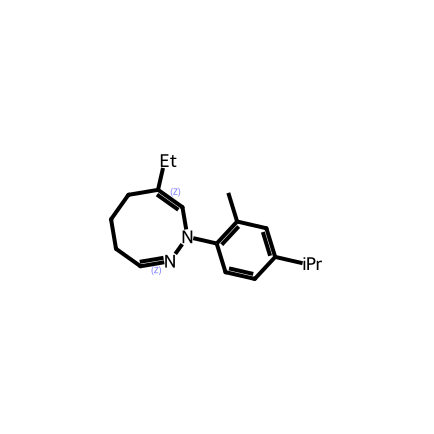 CC/C1=C/N(c2ccc(C(C)C)cc2C)/N=C\CCC1